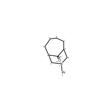 CC(C)N1CC2CCCCC(C1)C2=O